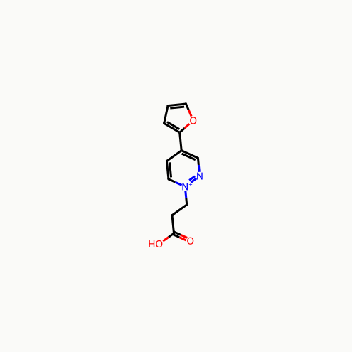 O=C(O)CC[n+]1ccc(-c2ccco2)cn1